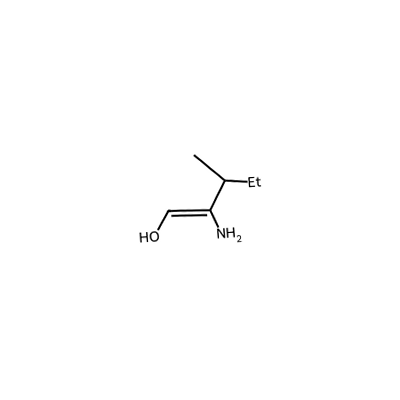 CCC(C)C(N)=CO